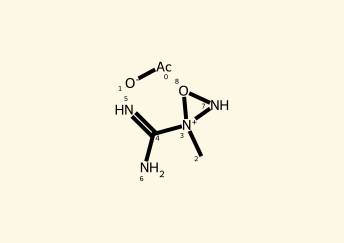 CC(=O)[O-].C[N+]1(C(=N)N)NO1